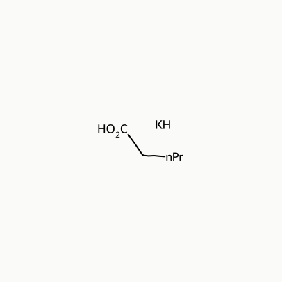 CCCCC(=O)O.[KH]